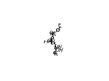 O=S(=O)(Nc1ccc(CCNC[C@H](O)c2cccnc2)cc1)c1ccc(-c2noc(CCc3ccc(F)cc3)n2)cc1